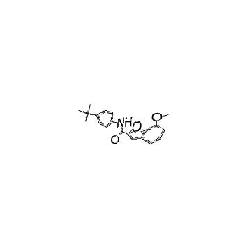 COc1cccc2cc(C(=O)Nc3ccc(C(C)(C)C)cc3)oc12